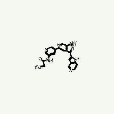 CC(C)(C)CC(=O)Nc1cncc(-c2cc3c(-c4cc5cnccc5[nH]4)n[nH]c3cn2)c1